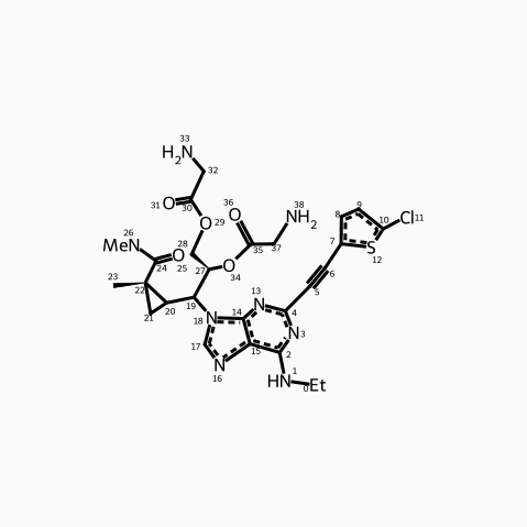 CCNc1nc(C#Cc2ccc(Cl)s2)nc2c1ncn2C(C1C[C@]1(C)C(=O)NC)[C@@H](COC(=O)CN)OC(=O)CN